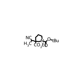 CCOC(=O)C1(C(C)C#N)CCCN(C(=O)OC(C)(C)C)C1